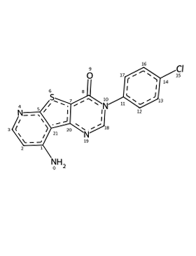 Nc1ccnc2sc3c(=O)n(-c4ccc(Cl)cc4)cnc3c12